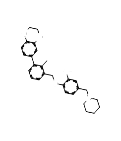 Cc1c(COc2ccc(CN3CCCCC3)cc2C(F)(F)F)cccc1-c1ccc2c(c1)OCCO2